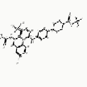 CC(C)(C)OC(=O)N1CCC(c2ccc(Nc3ncc(C(F)(F)F)c(C(CC(N)=O)Cc4cccc(F)c4)n3)cc2)CC1